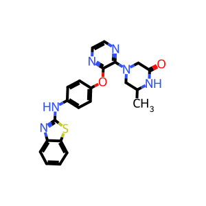 CC1CN(c2nccnc2Oc2ccc(Nc3nc4ccccc4s3)cc2)CC(=O)N1